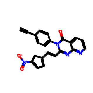 C#Cc1ccc(-n2c(/C=C/C3=CC=C([N+](=O)[O-])C3)nc3ncccc3c2=O)cc1